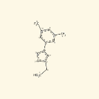 O=C(O)Cc1nc(-c2cc(C(F)(F)F)cc(C(F)(F)F)c2)co1